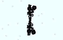 O=C(OCCCCCOC(=O)c1ncn2c1CN=C(c1ccccc1)c1cc(Br)ccc1-2)c1ncn2c1CN=C(c1ccccc1)c1cc(Br)ccc1-2